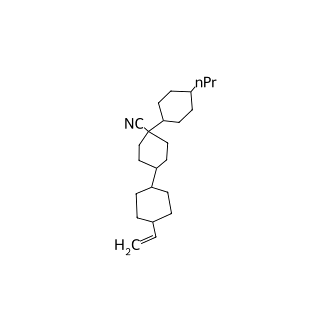 C=CC1CCC(C2CCC(C#N)(C3CCC(CCC)CC3)CC2)CC1